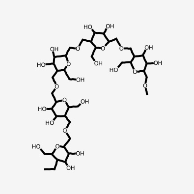 CCC1C(CO)OC(COCC2C(CO)OC(COCC3C(CO)OC(COCC4C(CO)OC(COCC5C(CO)OC(COC)C(O)C5O)C(O)C4O)C(O)C3O)C(O)C2O)C(O)C1O